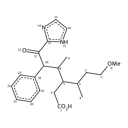 COCCC(C)C(CC(=O)O)[C](C)C(C(=O)c1ncc[nH]1)c1ccccc1